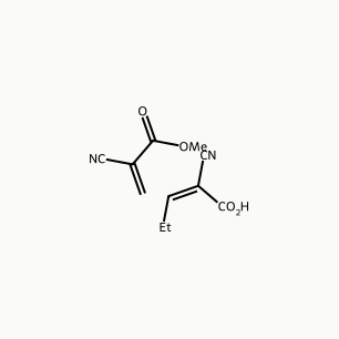 C=C(C#N)C(=O)OC.CCC=C(C#N)C(=O)O